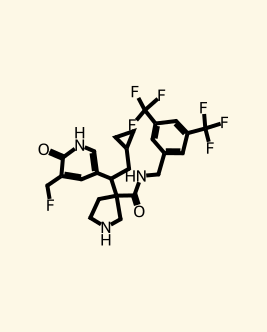 O=C(NCc1cc(C(F)(F)F)cc(C(F)(F)F)c1)C1(C(CC2CC2)c2c[nH]c(=O)c(CF)c2)CCNC1